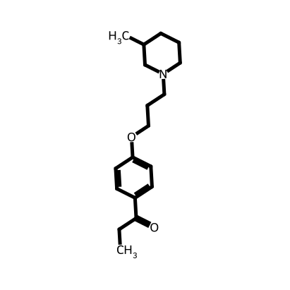 CCC(=O)c1ccc(OCCCN2CCCC(C)C2)cc1